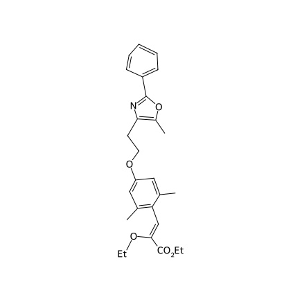 CCOC(=O)C(=Cc1c(C)cc(OCCc2nc(-c3ccccc3)oc2C)cc1C)OCC